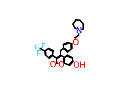 O=c1oc2cc(O)ccc2c(Cc2ccc(OCCN3CCCCCC3)cc2)c1-c1ccc(C(F)(F)F)cc1